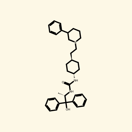 C[C@H](NC(=O)N[C@H]1CC[C@H](CCN2CCCC(c3ccccc3)C2)CC1)C(O)(c1ccccc1)c1ccccc1